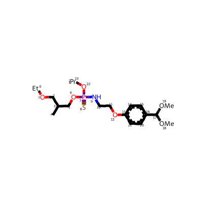 CCOCC(C)COP(=S)(NCCOc1ccc(C(OC)OC)cc1)OC(C)C